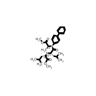 COC(=O)[C@H](CC(C)C)N[C@@H](CC(C)C)C(=O)N(c1ccc(-c2ccccc2)cc1)[C@@H](C)C(=O)OC